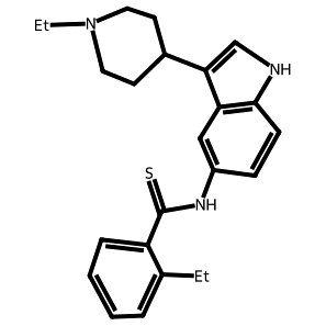 CCc1ccccc1C(=S)Nc1ccc2[nH]cc(C3CCN(CC)CC3)c2c1